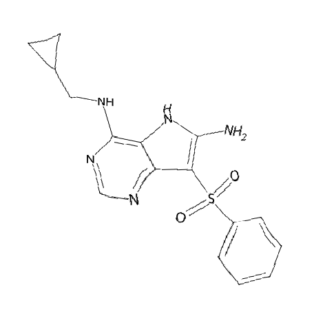 Nc1[nH]c2c(NCC3CC3)ncnc2c1S(=O)(=O)c1ccccc1